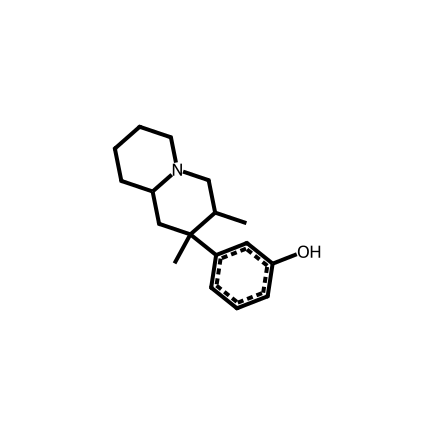 CC1CN2CCCCC2CC1(C)c1cccc(O)c1